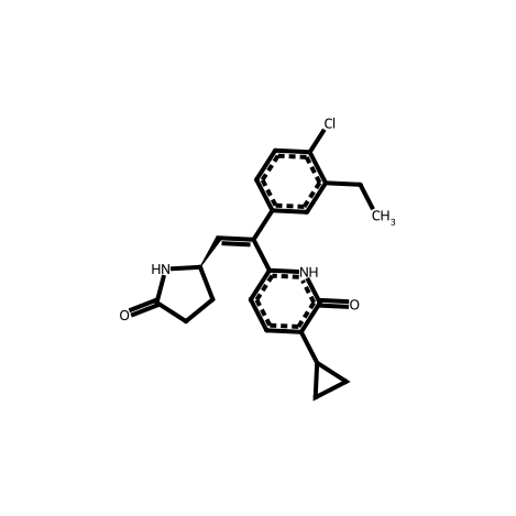 CCc1cc(C(=C[C@H]2CCC(=O)N2)c2ccc(C3CC3)c(=O)[nH]2)ccc1Cl